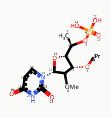 COC1[C@@H](OC(C)C)[C@@H]([C@@H](C)OP(=O)(O)O)O[C@H]1n1ccc(=O)[nH]c1=O